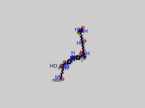 CCCCC(=O)NCCCCCC(=O)NC(CS(=O)(=O)O)C(=O)NC1CCN(c2n[nH]c(N3CCC(NC(=O)C(CS(=O)(=O)O)NC(=O)CCCCCNC(=O)CCCC[C@@H]4SCC5NC(=O)NC54)CC3)n2)CC1